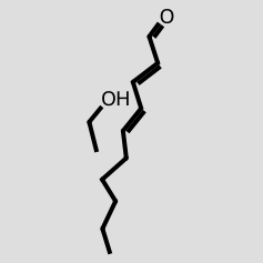 CCCCCC=CC=CC=O.CCO